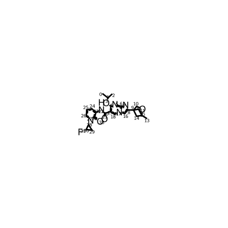 CC(C)Oc1nc2nc(C34COC(C)(C3)C4)cn2cc1C(=O)Nc1cccn([C@H]2C[C@@H]2F)c1=O